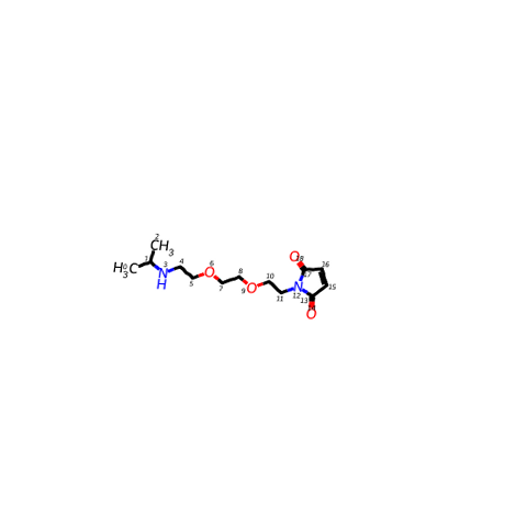 CC(C)NCCOCCOCCN1C(=O)C=CC1=O